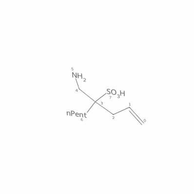 C=CCC(CN)(CCCCC)S(=O)(=O)O